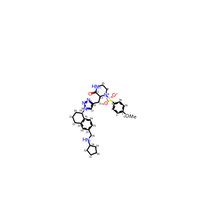 COc1ccc(S(=O)(=O)N2CCNC(=O)C2Cc2cn([C@@H]3CCCc4cc(CNC5CCCC5)ccc43)nn2)cc1